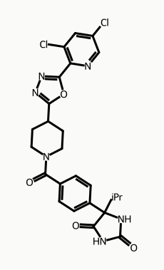 CC(C)C1(c2ccc(C(=O)N3CCC(c4nnc(-c5ncc(Cl)cc5Cl)o4)CC3)cc2)NC(=O)NC1=O